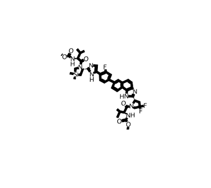 COC(=O)N[C@H](C(=O)N1C[Si](C)(C)C[C@H]1c1ncc(-c2ccc(-c3ccc4c(ccc5nc([C@@H]6CC(F)(F)CN6C(=O)[C@@H](NC(=O)OC)C(C)C)[nH]c54)c3)cc2F)[nH]1)C(C)C